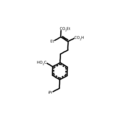 CCOC(=O)C(CC)=C(CCc1ccc(CC(C)C)cc1C(=O)O)C(=O)O